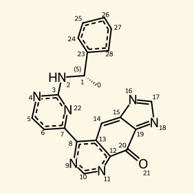 C[C@H](Nc1nccc(-c2ncnc3c2C=C2N=CN=C2C3=O)n1)c1ccccc1